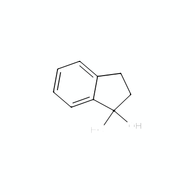 OC1(O)CCc2ccccc21